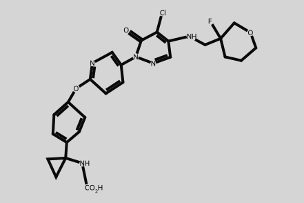 O=C(O)NC1(c2ccc(Oc3ccc(-n4ncc(NCC5(F)CCCOC5)c(Cl)c4=O)cn3)cc2)CC1